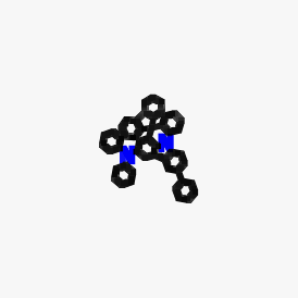 c1ccc(-c2ccc3c(c2)c2cc(N(c4ccccc4)c4ccccc4)cc4c2n3-c2ccccc2C42c3ccccc3-c3ccccc32)cc1